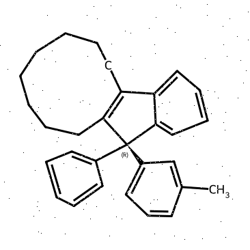 Cc1cccc([C@@]2(c3ccccc3)C3=C(CCCCCCCC3)c3ccccc32)c1